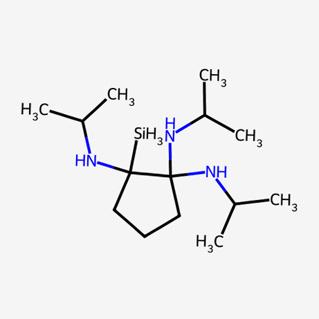 CC(C)NC1([SiH3])CCCC1(NC(C)C)NC(C)C